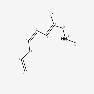 C=CC/C=C\C=C(/C)CNC